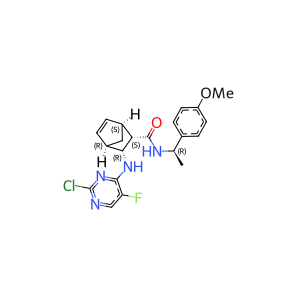 COc1ccc([C@@H](C)NC(=O)[C@@H]2[C@H](Nc3nc(Cl)ncc3F)[C@H]3C=C[C@@H]2C3)cc1